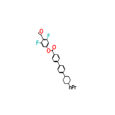 CCCC1CCC(c2ccc(-c3ccc(C(=O)Oc4cc(F)c(C5CO5)c(F)c4)cc3)cc2)CC1